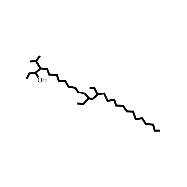 CCCCCCCCCCCCCC(CC)CC(CC)CCCCCCCCCC(C(C)C)C(O)CC